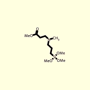 COC(=O)CCN(C)CCC[Si](OC)(OC)OC